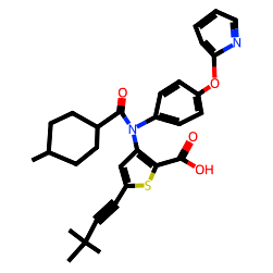 CC1CCC(C(=O)N(c2ccc(Oc3ccccn3)cc2)c2cc(C#CC(C)(C)C)sc2C(=O)O)CC1